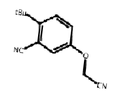 CC(C)(C)c1ccc(OCC#N)cc1C#N